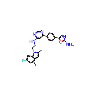 Cc1cc(F)cc2c1cc(C)n2CCNc1cc(-c2ccc(-c3cnc(N)o3)cc2)ncn1